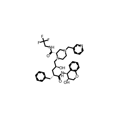 O=C(N[C@H]1c2ccccc2OC[C@H]1O)[C@H](Cc1ccccc1)C[C@H](O)CN1CCN(Cc2cccnc2)C[C@H]1C(=O)NCC(F)(F)F